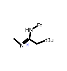 CCN/C(CC(C)(C)C)=N\C